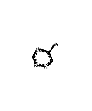 CC(C)c1cnncn1